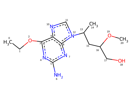 CCOc1nc(N)nc2c1ncn2C(C)CC(CO)OC